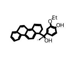 [CH2][C@](O)(c1ccc(O)c(OCC)c1)C1CC=Cc2c1ccc1c2ccc2ccccc21